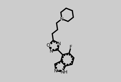 Fc1ccc2[nH]ncc2c1-c1noc(CCCN2CCCCC2)n1